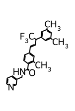 Cc1cc(C)cc(C(/C=C/c2ccc(C(=O)NCc3cccnc3)c(C)c2)C(F)(F)F)c1